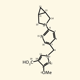 COc1nn(Cc2ccc(N3CC4CC4C3)nc2)cc1C(=O)O